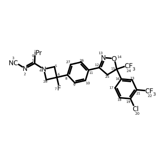 CC(C)C(=NC#N)N1CC(F)(c2ccc(C3=NOC(c4ccc(Cl)c(C(F)(F)F)c4)(C(F)(F)F)C3)cc2)C1